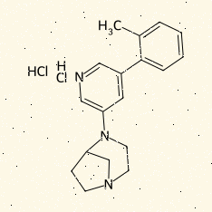 Cc1ccccc1-c1cncc(N2CCN3CCC2C3)c1.Cl.Cl